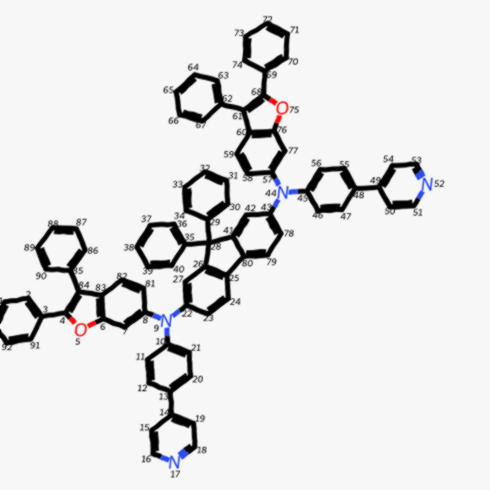 c1ccc(-c2oc3cc(N(c4ccc(-c5ccncc5)cc4)c4ccc5c(c4)C(c4ccccc4)(c4ccccc4)c4cc(N(c6ccc(-c7ccncc7)cc6)c6ccc7c(-c8ccccc8)c(-c8ccccc8)oc7c6)ccc4-5)ccc3c2-c2ccccc2)cc1